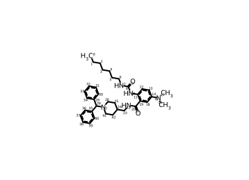 CCCCCCCNC(=O)Nc1ccc(N(C)C)cc1C(=O)NCC1CCN(C(c2ccccc2)c2ccccc2)CC1